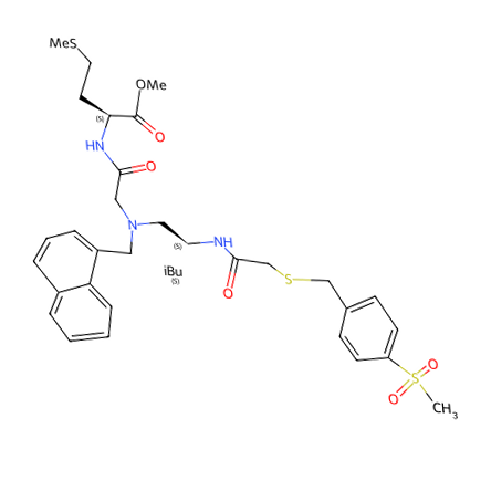 CC[C@H](C)[C@@H](CN(CC(=O)N[C@@H](CCSC)C(=O)OC)Cc1cccc2ccccc12)NC(=O)CSCc1ccc(S(C)(=O)=O)cc1